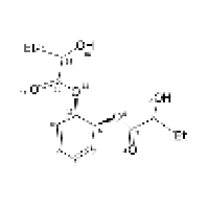 CCC(O)C(=O)O[C@H]1C=CC=C[C@H]1OC(=O)C(O)CC